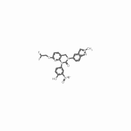 Cn1cc2cc(N3Cc4ccc(OCC(F)F)nc4N(c4ccc(O)c([N+](=O)[O-])c4)C3=O)ccc2n1